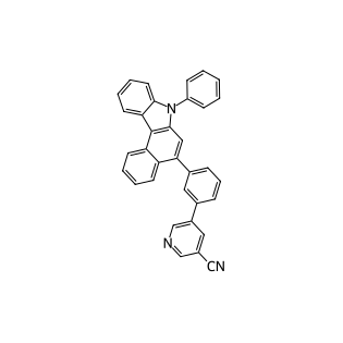 N#Cc1cncc(-c2cccc(-c3cc4c(c5ccccc35)c3ccccc3n4-c3ccccc3)c2)c1